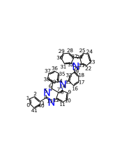 c1ccc(-c2nc3c4c(cccc4n2)N(c2cccc(-n4c5ccccc5c5ccccc54)c2)c2ccccc2-3)cc1